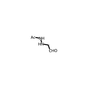 CC(=O)NN[CH]C=O